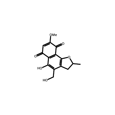 COC1=CC(=O)c2c(O)c(CO)c3c(c2C1=O)OC(C)C3